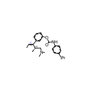 C/C=C(/c1cccc(OC(=O)Nc2ccc(C(C)C)cc2)c1)[C@H](C)CN(C)C